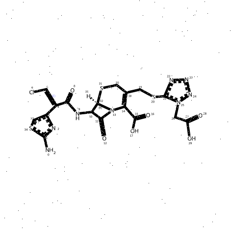 Nc1nc(/C(=C\Cl)C(=O)NC2C(=O)N3C(C(=O)O)=C(CSc4nnnn4CC(=O)O)CS[C@H]23)cs1